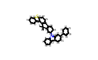 CC1(C)c2cc(-n3c4ccccc4c4ccc(-c5ccccc5)cc43)ccc2-c2ccc3sc4ccccc4c3c21